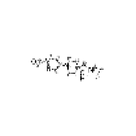 O=[N+]([O-])c1ccc(N2CCC(O)(CN3CCCC3)CC2)cn1